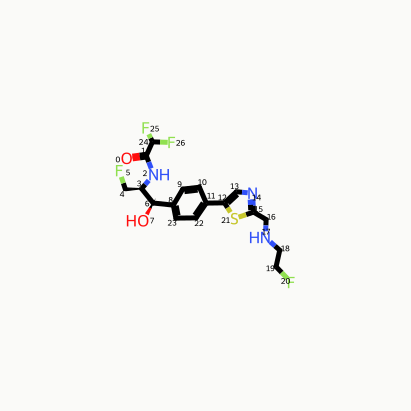 O=C(N[C@H](CF)[C@H](O)c1ccc(-c2cnc(CNCCF)s2)cc1)C(F)F